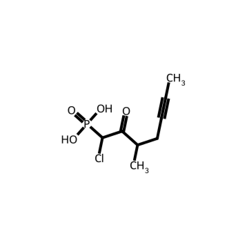 CC#CCC(C)C(=O)C(Cl)P(=O)(O)O